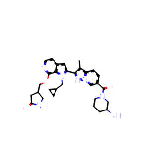 Cc1c(-c2cc3ccnc(OCC4CNC(=O)C4)c3n2CC2CC2)nn2cc(C(=O)N3CCCC(N)C3)ccc12